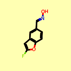 O/N=C/c1ccc2oc(F)cc2c1